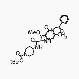 COc1c(C(=O)NC2CCN(C(=O)OC(C)(C)C)CC2)[nH]c2cc(C)n(CC(=O)c3ccccc3)c(=O)c12